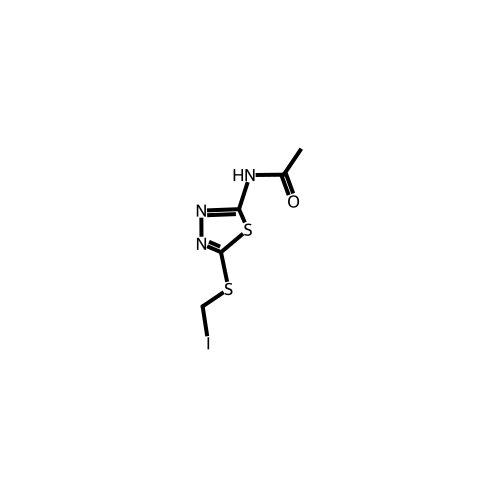 CC(=O)Nc1nnc(SCI)s1